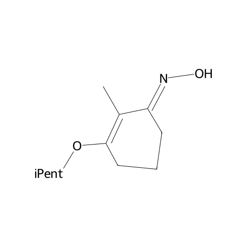 CCCC(C)OC1=C(C)/C(=N/O)CCC1